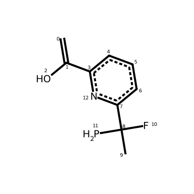 C=C(O)c1cccc(C(C)(F)P)n1